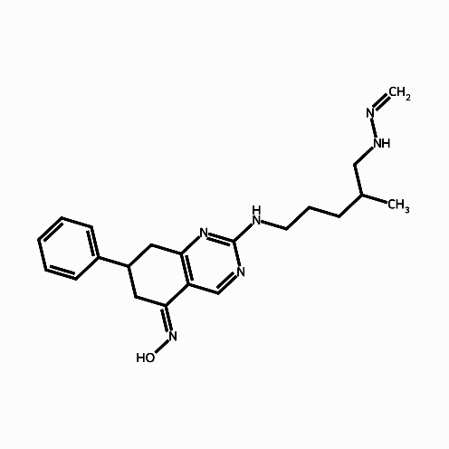 C=NNCC(C)CCCNc1ncc2c(n1)CC(c1ccccc1)C/C2=N\O